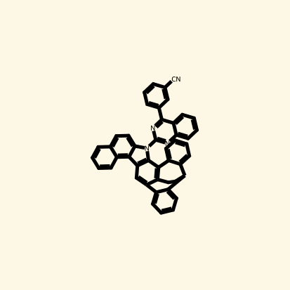 N#Cc1cccc(-c2nc(-n3c4ccc5ccccc5c4c4cc5c6c(c43)-c3ccccc3C(CC6)c3ccccc3-5)nc3ccccc23)c1